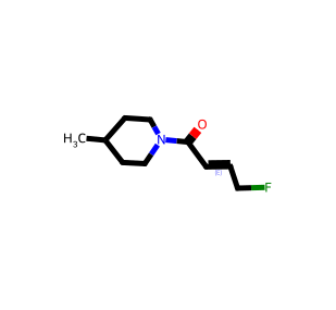 CC1CCN(C(=O)/C=C/CF)CC1